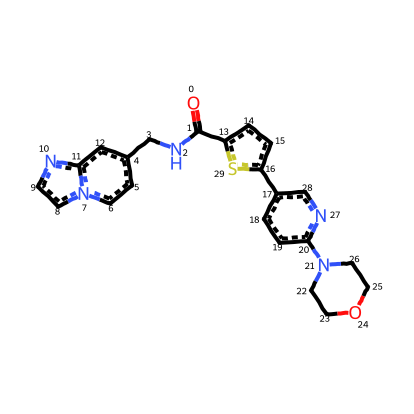 O=C(NCc1ccn2ccnc2c1)c1ccc(-c2ccc(N3CCOCC3)nc2)s1